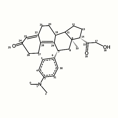 CN(C)c1ccc([C@H]2C[C@@]3(C)C(CC[C@@H]3C(=O)CO)C3CCC4=CC(=O)CCC4=C32)cc1